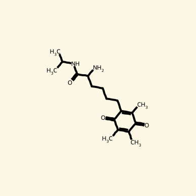 CC1=C(C)C(=O)C(CCCCC(N)C(=O)NC(C)C)=C(C)C1=O